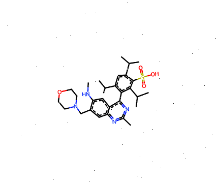 CNc1cc2c(-c3c(C(C)C)cc(C(C)C)c(S(=O)(=O)O)c3C(C)C)nc(C)nc2cc1CN1CCOCC1